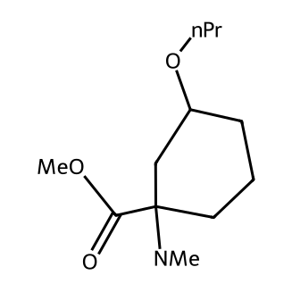 CCCOC1CCCC(NC)(C(=O)OC)C1